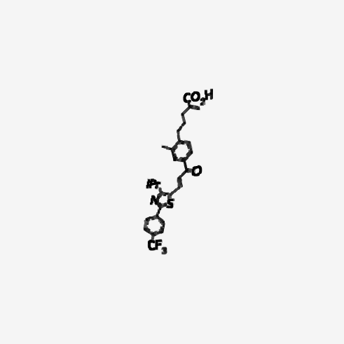 C=C(CCCc1ccc(C(=O)C=Cc2sc(-c3ccc(C(F)(F)F)cc3)nc2C(C)C)cc1C)C(=O)O